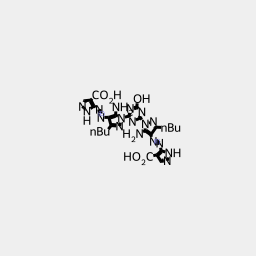 CCCCc1nn(-c2nc(O)nc(-n3nc(CCCC)c(/N=N/c4[nH]ncc4C(=O)O)c3N)n2)c(N)c1/N=N/c1[nH]ncc1C(=O)O